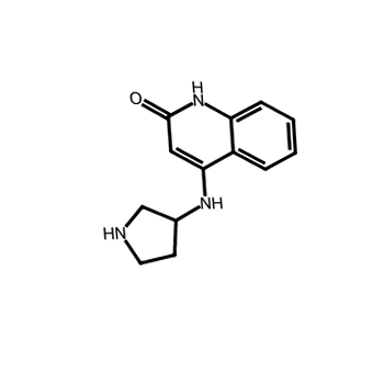 O=c1cc(NC2CCNC2)c2ccccc2[nH]1